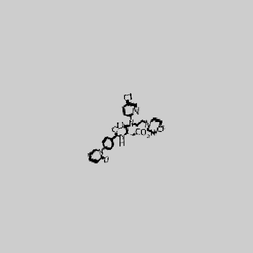 O=C(O)C[C@H](NC(=O)c1ccc(-n2ccccc2=O)cc1)C(=O)N(CCN1CCOCC1)c1ccc(Cl)cn1